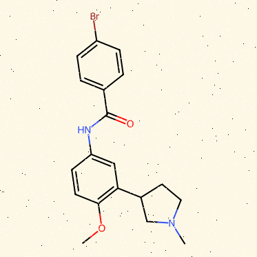 COc1ccc(NC(=O)c2ccc(Br)cc2)cc1C1CCN(C)C1